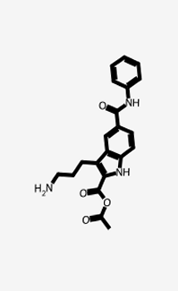 CC(=O)OC(=O)c1[nH]c2ccc(C(=O)Nc3ccccc3)cc2c1CCCN